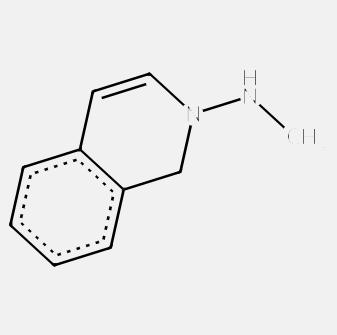 CNN1C=Cc2ccccc2C1